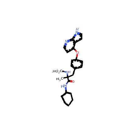 CC(Cc1ccc(Oc2ccnc3[nH]ccc23)cc1)(NC(=O)O)C(=O)NC1CCCCC1